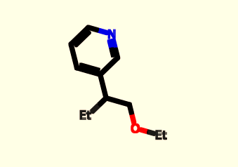 CCOCC(CC)c1cccnc1